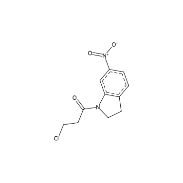 O=C(CCCl)N1CCc2ccc([N+](=O)[O-])cc21